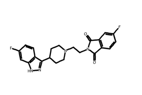 O=C1c2ccc(F)cc2C(=O)N1CCN1CCC(c2n[nH]c3cc(F)ccc23)CC1